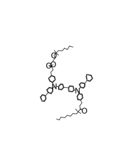 CCCCCCCCC(C)(C)C(=O)CCc1ccc(N(c2ccc(-c3ccccc3)cc2)c2ccc(-c3ccc(N(c4ccc(CCC(=O)OCCOC(C)(C)CCCCCC)cc4)c4ccc(-c5ccccc5)cc4)cc3)cc2)cc1